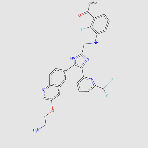 COC(=O)c1cccc(NCc2nc(-c3cccc(C(F)F)n3)c(-c3ccc4ncc(OCCN)cc4c3)[nH]2)c1F